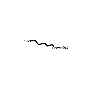 CCCCCCCCCCCCCNCCCCCCCC